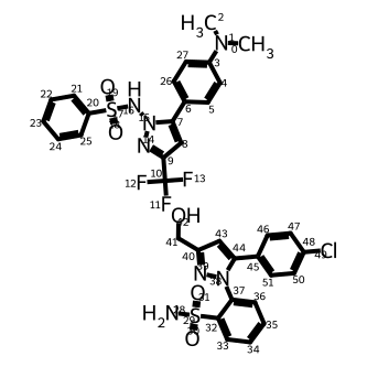 CN(C)c1ccc(-c2cc(C(F)(F)F)nn2NS(=O)(=O)c2ccccc2)cc1.NS(=O)(=O)c1ccccc1-n1nc(CO)cc1-c1ccc(Cl)cc1